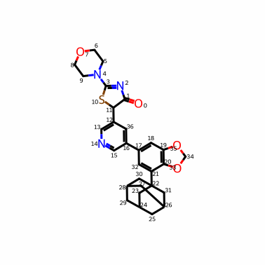 O=C1N=C(N2CCOCC2)SC1c1cncc(-c2cc3c(c(C45CC6CC(CC(C6)C4)C5)c2)OCO3)c1